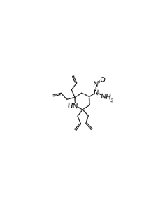 C=CCC1(CC=C)CC(N(N)N=O)CC(CC=C)(CC=C)N1